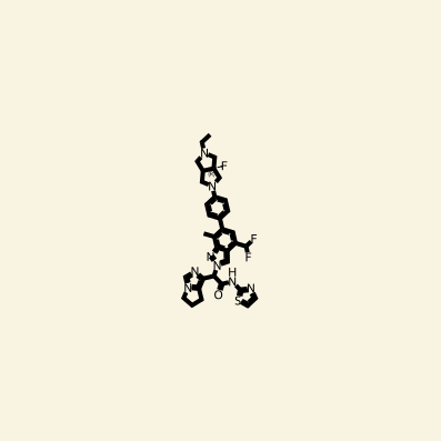 CCN1CC2CN(c3ccc(-c4cc(C(F)F)c5cn(C(C(=O)Nc6nccs6)c6ncn7c6CCC7)nc5c4C)cc3)C[C@]2(F)C1